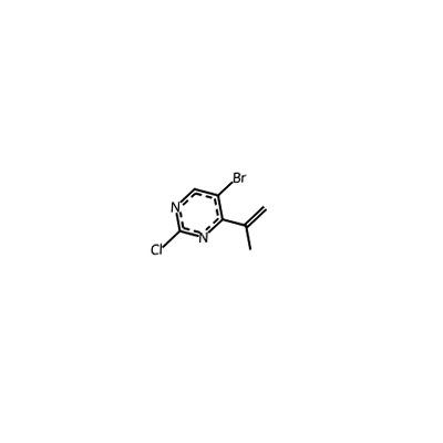 C=C(C)c1nc(Cl)ncc1Br